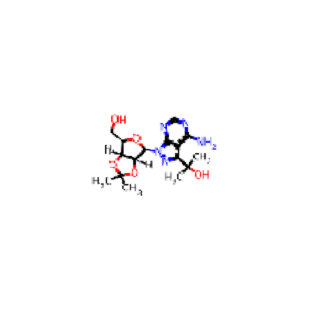 CC1(C)O[C@@H]2[C@H](O1)[C@@H](CO)O[C@H]2n1nc(C(C)(C)O)c2c(N)ncnc21